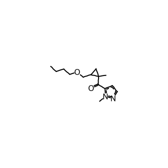 CCCCOCC1CC1(C)C(=O)c1ccnn1C